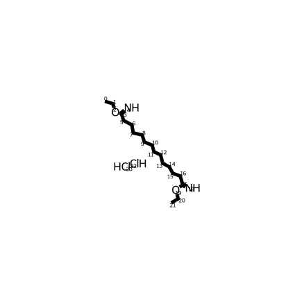 CCOC(=N)CCCCCCCCCCCCC(=N)OCC.Cl.Cl